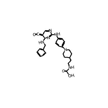 O=C=C1C=NC(Nc2ccc(N3CCC(CCNC(=O)O)CC3)cc2)=NC1NCc1ccccc1